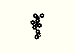 c1ccc(-n2c3ccccc3c3cc([Si](c4ccccc4)(c4ccccc4)c4cccc(-c5ccc6sc7ccccc7c6c5)c4)ccc32)cc1